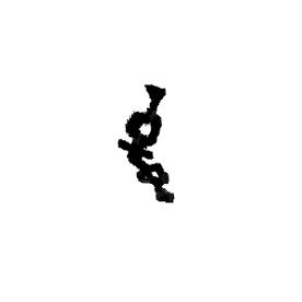 CC(C)(C)C1OCC(CC(C)(C)N2CCN(C3CC3)CC2)O1